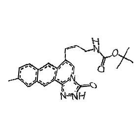 Cc1ccc2cc3c(/C=C\CNC(=O)OC(C)(C)C)cn4c(=O)[nH]nc4c3cc2c1